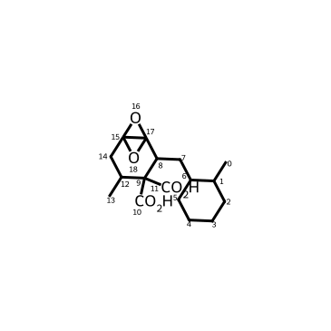 CC1CCCCC1CC1C(C(=O)O)(C(=O)O)C(C)CC23OC12O3